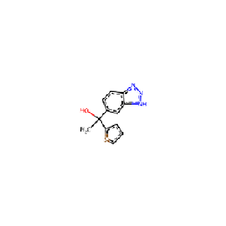 CC(O)(c1ccc2nn[nH]c2c1)c1cccs1